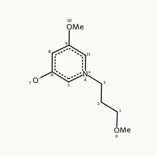 COCCC[n+]1cc([O-])cc(OC)c1